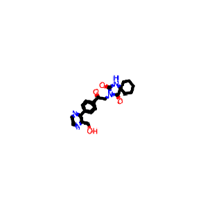 O=C(CN1C(=O)NC2(CCCCC2)C1=O)c1ccc(-c2nccnc2CO)cc1